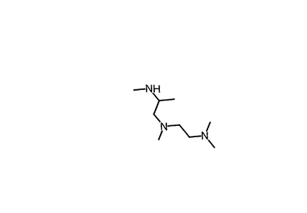 CNC(C)CN(C)CCN(C)C